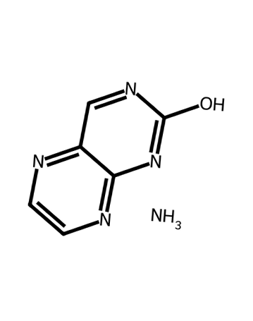 N.Oc1ncc2nccnc2n1